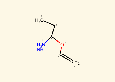 C=COC(N)CC.N